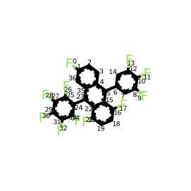 Fc1ccc2c(-c3cc(F)c(F)c(F)c3)c3c(F)ccc(F)c3c(-c3c(F)c(F)c(F)c(F)c3F)c2c1